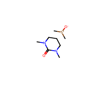 CN1CCCN(C)C1=O.C[S+](C)[O-]